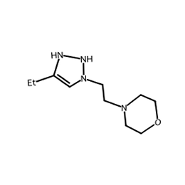 CCC1=CN(CCN2CCOCC2)NN1